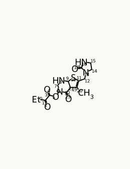 CCC(=O)C(=O)ON1CNC2SC(CN3CCNC3=O)=C(C)C2C1=O